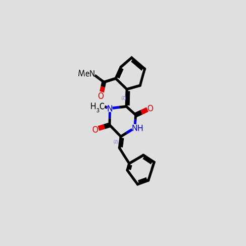 CNC(=O)C1=CC=CC/C1=c1\c(=O)[nH]/c(=C\c2ccccc2)c(=O)n1C